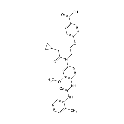 COc1cc(N(CCOc2ccc(C(=O)O)cc2)C(=O)CC2CC2)ccc1NC(=O)Nc1ccccc1C